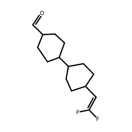 O=CC1CCC(C2CCC(C=C(F)F)CC2)CC1